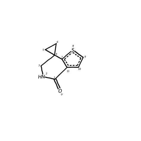 O=C1NCC2(CC2)c2sccc21